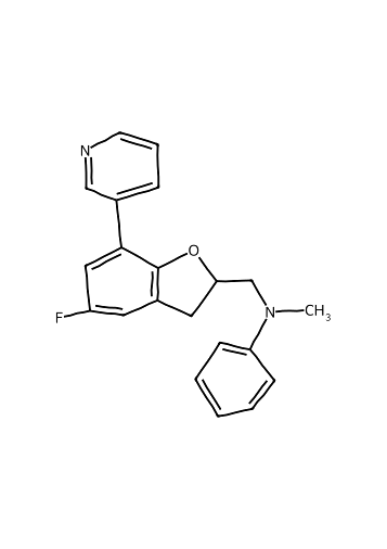 CN(CC1Cc2cc(F)cc(-c3cccnc3)c2O1)c1ccccc1